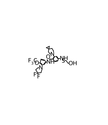 O=C(Nc1ccc(OC(F)(F)F)c(N2CCC(F)(F)CC2)c1)c1ccc(NSCCO)cc1N1CCC2(CC1)CC2